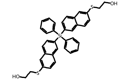 OCCSc1ccc2cc([Si](c3ccccc3)(c3ccccc3)c3ccc4cc(SCCO)ccc4c3)ccc2c1